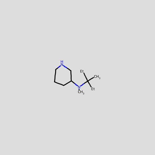 CCC(C)(CC)N(C)C1CCCNC1